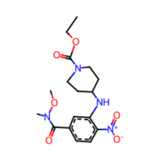 CCOC(=O)N1CCC(Nc2cc(C(=O)N(C)OC)ccc2[N+](=O)[O-])CC1